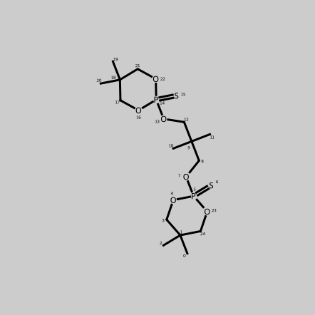 CC1(C)COP(=S)(OCC(C)(C)COP2(=S)OCC(C)(C)CO2)OC1